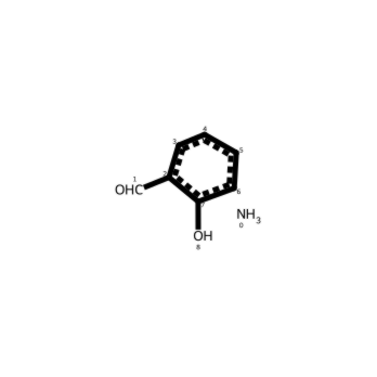 N.O=Cc1ccccc1O